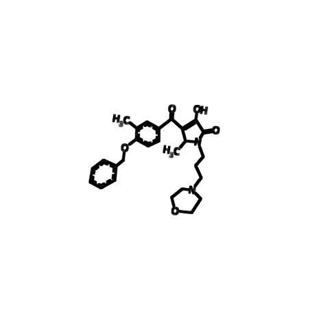 Cc1cc(C(=O)C2=C(O)C(=O)N(CCCN3CCOCC3)C2C)ccc1OCc1ccccc1